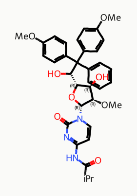 COc1ccc(C(c2ccccc2)(c2ccc(OC)cc2)C(O)[C@H]2O[C@@H](n3ccc(NC(=O)C(C)C)nc3=O)[C@H](OC)[C@@H]2O)cc1